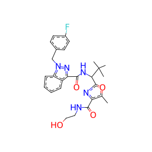 Cc1oc(C(NC(=O)c2nn(Cc3ccc(F)cc3)c3ccccc23)C(C)(C)C)nc1C(=O)NCCO